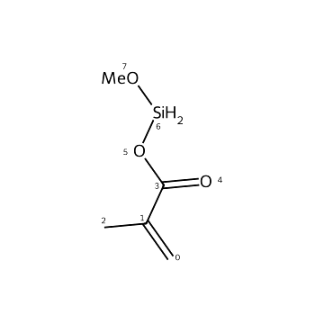 C=C(C)C(=O)O[SiH2]OC